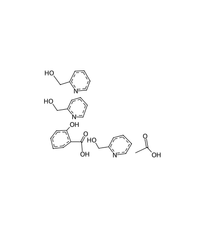 CC(=O)O.O=C(O)c1ccccc1O.OCc1ccccn1.OCc1ccccn1.OCc1ccccn1